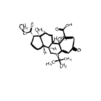 COC(=O)[C@H]1CC[C@H]2[C@@H]3CN(C(C)(C)C)C4=CC(=O)C=C(C(=O)O)[C@]4(C)[C@H]3CC[C@]12C